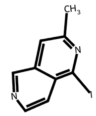 Cc1cc2cnccc2c(I)n1